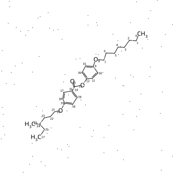 CCCCCCCCOc1ccc(OC(=O)c2ccc(OCCCC(C)CC)cc2)cc1